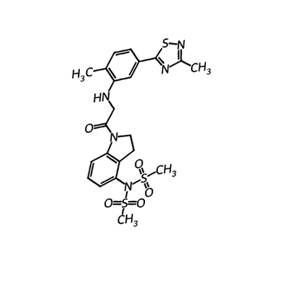 Cc1nsc(-c2ccc(C)c(NCC(=O)N3CCc4c3cccc4N(S(C)(=O)=O)S(C)(=O)=O)c2)n1